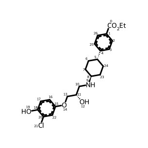 CCOC(=O)c1ccc([C@H]2CC[C@H](NC[C@H](O)COc3ccc(O)c(Cl)c3)CC2)cc1